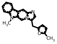 Cc1ccc(Cc2cnc3cc4c5ccccc5n(C)c4cn23)o1